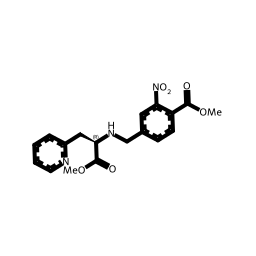 COC(=O)c1ccc(CN[C@H](Cc2ccccn2)C(=O)OC)cc1[N+](=O)[O-]